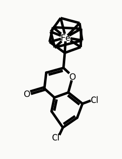 O=c1cc([C]23[CH]4[CH]5[CH]6[CH]2[Fe]56432789[CH]3[CH]2[CH]7[CH]8[CH]39)oc2c(Cl)cc(Cl)cc12